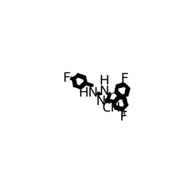 C[C@@]1(c2cccc(F)c2)N=C(NCc2ccc(F)cc2)N[C@@H]1c1cccc(F)c1